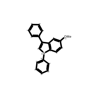 COc1ccc2c(c1)c(-c1[c]cccc1)cn2-c1ccccc1